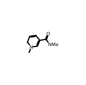 CNC(=O)C1=CN(C)CC=C1